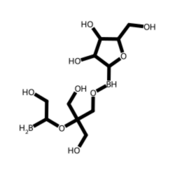 BC(CO)OC(CO)(CO)COBC1OC(CO)C(O)C1O